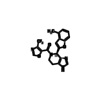 Cc1cccc2oc([C@H]3c4nc[nH]c4CCN3C(=O)c3ocnc3C(F)(F)F)cc12